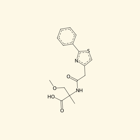 COCC(C)(NC(=O)Cc1csc(-c2ccccc2)n1)C(=O)O